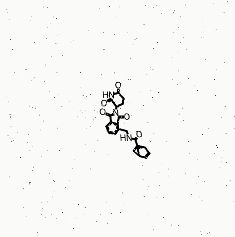 O=C1CCC(N2C(=O)c3cccc(CNC(=O)C4CC5C=CC4C5)c3C2=O)C(=O)N1